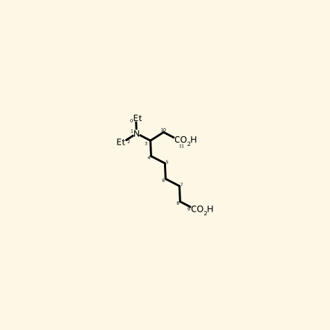 CCN(CC)C(CCCCCC(=O)O)CC(=O)O